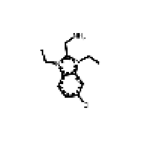 CCn1c(CN)[n+](CC)c2ccc(Cl)cc21